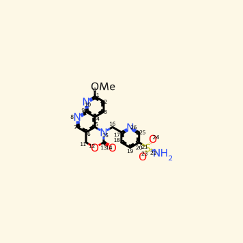 COc1ccc2c3c(cnc2n1)COC(=O)N3Cc1ccc(S(N)(=O)=O)cn1